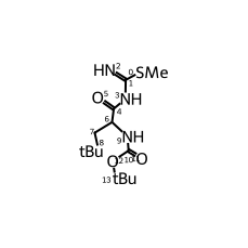 CSC(=N)NC(=O)C(CC(C)(C)C)NC(=O)OC(C)(C)C